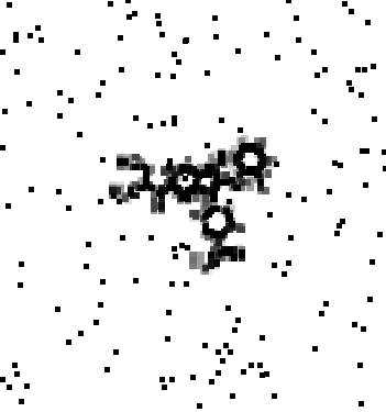 C[C@@H](CO)Nc1ncc2nc(Nc3c(Cl)cccc3Cl)n([C@H]3CC[C@@H](C(N)=O)CC3)c2n1